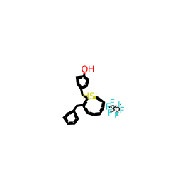 Oc1ccc(Cc2[sH+]ccccccc2Cc2ccccc2)cc1.[F][Sb-]([F])([F])([F])([F])[F]